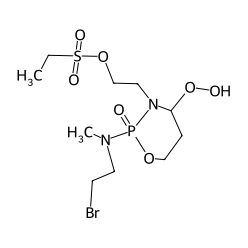 CCS(=O)(=O)OCCN1C(OO)CCOP1(=O)N(C)CCBr